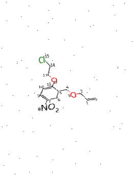 C=CCOCC1CC([N+](=O)[O-])=CC=C1OCCCl